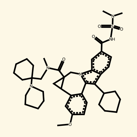 COc1ccc2c(c1)C1CC1(C(=O)N(C)CC1(N3CCCCC3)CCCCC1)Cn1c-2c(C2CCCCC2)c2ccc(C(=O)NS(=O)(=O)N(C)C)cc21